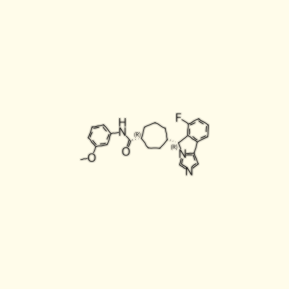 COc1cccc(NC(=O)[C@@H]2CCCC([C@@H]3c4c(F)cccc4-c4cncn43)CC2)c1